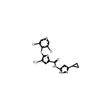 O=C(Nc1cc(C2CC2)n[nH]1)c1cc([N+](=O)[O-])c(Sc2c(Cl)cncc2Cl)s1